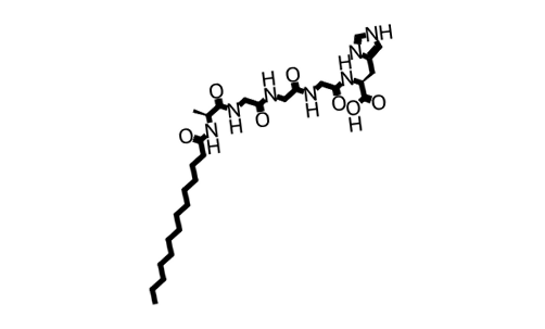 CCCCCCCCCCCCCC(=O)N[C@@H](C)C(=O)NCC(=O)NCC(=O)NCC(=O)N[C@@H](Cc1c[nH]cn1)C(=O)O